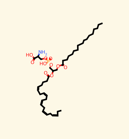 CC/C=C\C/C=C\C/C=C\C/C=C\C/C=C\CCCC(=O)OC(COC(=O)CCCCCCCCCCCCCCCC)COP(=O)(O)OCC(N)C(=O)O